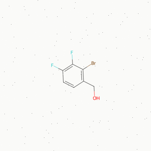 OCc1ccc(F)c(F)c1Br